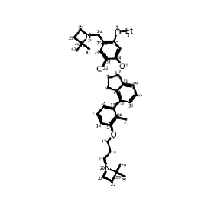 CCOc1cc(O[C@H]2CCc3c(-c4cccc(OCCCN5CCC5(C)C)c4C)cccc32)c(Cl)cc1CN1CCC1(C)C